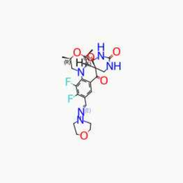 C[C@@H]1CN2c3c(cc(/C=N/N4CCOCC4)c(F)c3F)C(=O)C3(CNC(=O)NC3=O)[C@H]2[C@H](C)O1